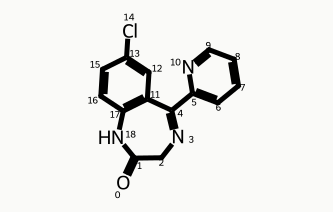 O=C1CN=C(c2ccccn2)c2cc(Cl)ccc2N1